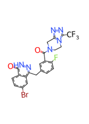 O=C(c1cc(Cc2n[nH]c(=O)c3ccc(Br)cc23)ccc1F)N1CCn2c(nnc2C(F)(F)F)C1